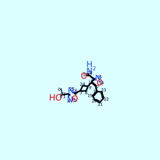 C[C@H](O)c1noc(C2CC(c3c(C(N)=O)noc3-c3ccccc3)C2)n1